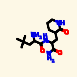 CC(C)(C)CC(N)C(=O)NC(CC1CCCNC1=O)C(N)=O